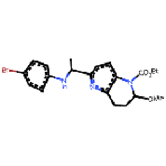 CCOC(=O)N1c2ccc(C(C)Nc3ccc(Br)cc3)nc2CCC1OC